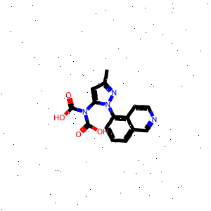 Cc1cc(N(C(=O)O)C(=O)O)n(-c2cccc3cnccc23)n1